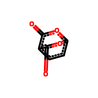 O=c1oc2ccc1c(=O)o2